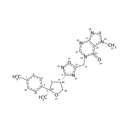 Cc1ccc([C@@]2(C)C[C@H](c3noc(Cn4cnc5ncn(C)c5c4=O)n3)CO2)cc1